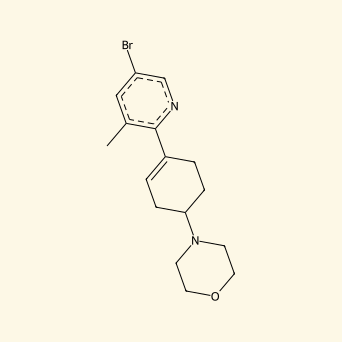 Cc1cc(Br)cnc1C1=CCC(N2CCOCC2)CC1